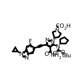 CC(C)(C)OC(=O)N(c1c(C(N)=O)c(C#Cc2cc3ncn(C4CC4)c3cc2F)nn1[C@H]1CCN(C(=O)O)C1)C1CCCC1